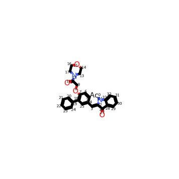 CC(=O)N1C(=Cc2ccc(OCC(=O)N3CCOCC3)c(-c3ccccc3)c2)C(=O)c2ccccc21